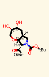 COC(=O)[C@@H]1[C@@H]2OC[C@H](O)[C@H](O)C[C@H]2CN1C(=O)OC(C)(C)C